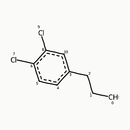 [CH][CH]Cc1ccc(Cl)c(Cl)c1